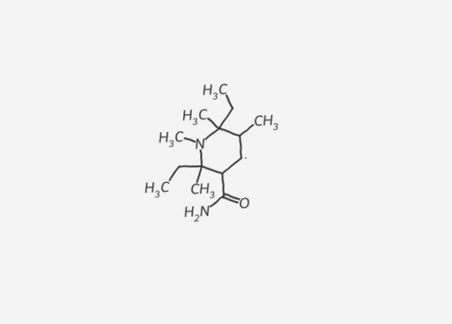 CCC1(C)C(C)[CH]C(C(N)=O)C(C)(CC)N1C